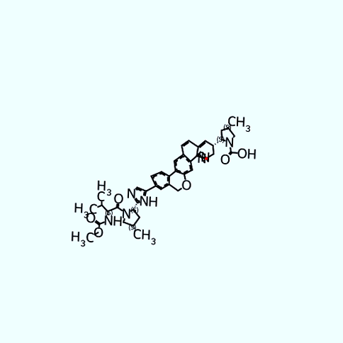 COC(=O)N[C@H](C(=O)N1C[C@@H](C)C[C@H]1c1ncc(-c2ccc3c(c2)COc2cc4c(cc2-3)C=CC2=CC([C@@H]3C[C@H](C)CN3C(=O)O)CC3=NN=CC234)[nH]1)C(C)C